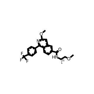 COC[C@H](C)NC(=O)c1ccc2c(-c3ccc(C(F)(F)F)cc3)nc(OC)cc2c1